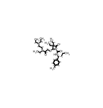 CCC[C@@H](NC(=O)N1C(=O)C(CC)(CC)C1OCC(=O)N(CC)CCN(CC)CC)c1ccc(C)cc1